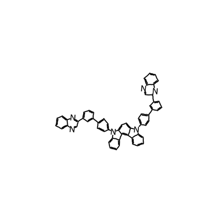 c1cc(-c2ccc(-n3c4ccccc4c4c5c6ccccc6n(-c6ccc(-c7cccc(-c8cnc9ccccc9n8)c7)cc6)c5ccc43)cc2)cc(-c2cnc3ccccc3n2)c1